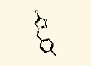 Cc1ccc(C[n+]2cc([O-])on2)cc1